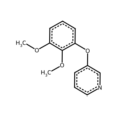 COc1cccc(Oc2cc[c]nc2)c1OC